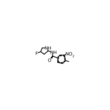 Cc1ccc(C(=O)NC2CC(F)CN2)cc1[N+](=O)[O-]